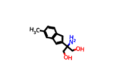 Cc1ccc2c(c1)C=C(C(N)(CO)CO)C2